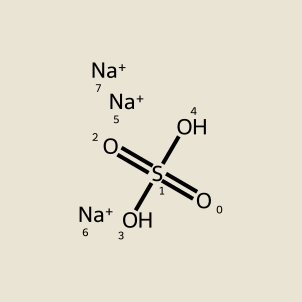 O=S(=O)(O)O.[Na+].[Na+].[Na+]